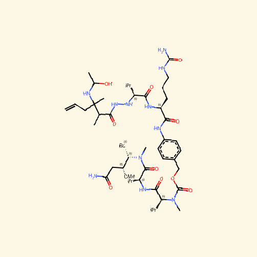 C=CCC(C)(NC(C)O)C(C)C(=O)NN[C@H](C(=O)N[C@@H](CCCNC(N)=O)C(=O)Nc1ccc(COC(=O)N(C)[C@H](C(=O)N[C@H](C(=O)N(C)[C@@H]([C@@H](C)CC)[C@@H](CC(N)=O)OC)C(C)C)C(C)C)cc1)C(C)C